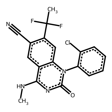 CNc1nc(=O)n(-c2ccccc2Cl)c2cc(C(C)(F)F)c(C#N)cc12